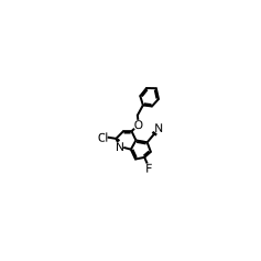 N#Cc1cc(F)cc2nc(Cl)cc(OCc3ccccc3)c12